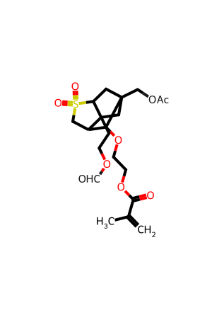 C=C(C)C(=O)OCCOC1C2CS(=O)(=O)C3CC1(COC(C)=O)CC23CCOC=O